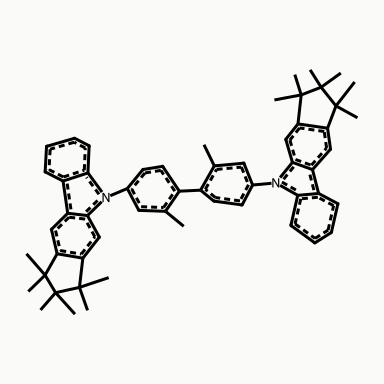 Cc1cc(-n2c3ccccc3c3cc4c(cc32)C(C)(C)C(C)(C)C4(C)C)ccc1-c1ccc(-n2c3ccccc3c3cc4c(cc32)C(C)(C)C(C)(C)C4(C)C)cc1C